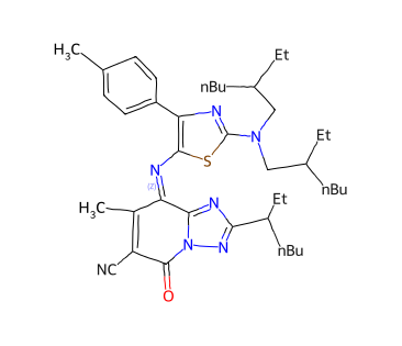 CCCCC(CC)CN(CC(CC)CCCC)c1nc(-c2ccc(C)cc2)c(/N=C2/C(C)=C(C#N)C(=O)n3nc(C(CC)CCCC)nc32)s1